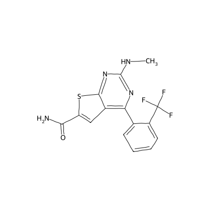 CNc1nc(-c2ccccc2C(F)(F)F)c2cc(C(N)=O)sc2n1